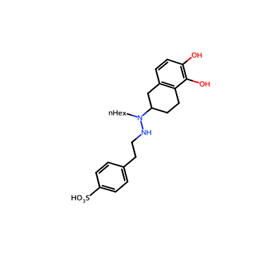 CCCCCCN(NCCc1ccc(S(=O)(=O)O)cc1)C1CCc2c(ccc(O)c2O)C1